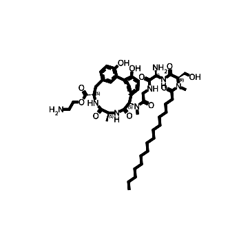 CCCCCCCCCCCCCCCC(=O)N(C)[C@H](CO)C(=O)N[C@H](N)C(=O)NCC(=O)N(C)[C@@H]1C(=O)N[C@@H](C)C(=O)N[C@H](C(=O)OCCN)Cc2ccc(O)c(c2)-c2cc1ccc2O